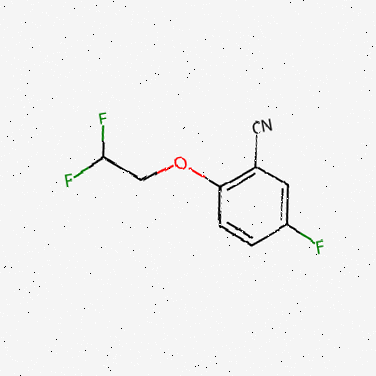 N#Cc1cc(F)ccc1OCC(F)F